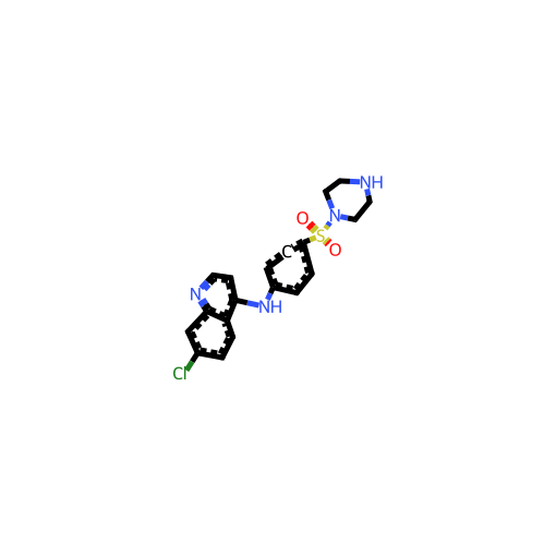 O=S(=O)(c1ccc(Nc2ccnc3cc(Cl)ccc23)cc1)N1CCNCC1